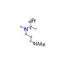 CNCCCN(C)C(C)C(C)C